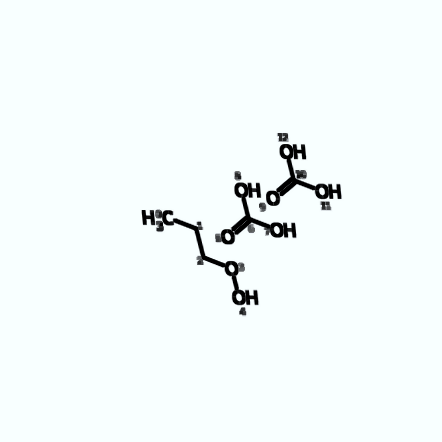 CCCOO.O=C(O)O.O=C(O)O